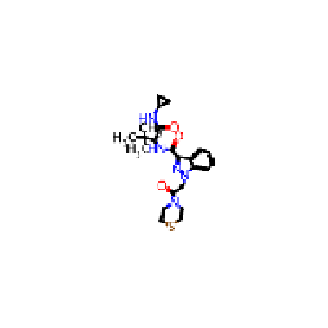 CC(C)(C)C(NC(=O)c1nn(CC(=O)N2CCSCC2)c2ccccc12)C(=O)NC1CC1